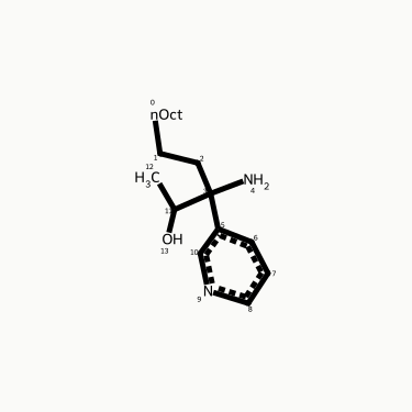 CCCCCCCCCCC(N)(c1cccnc1)C(C)O